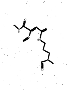 C=N/C(=C\C(=C)NCCCN(C)C=O)C(=O)NC